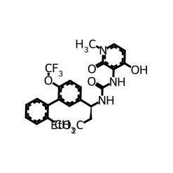 CCOC(=O)C[C@H](NC(=O)Nc1c(O)ccn(C)c1=O)c1ccc(OC(F)(F)F)c(-c2ccccc2C)c1